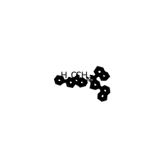 CC1(C)c2cc(-c3ccccc3)ccc2-c2ccc(-n3cc(-c4cccc5ccccc45)c4cc(-c5cccc6ccccc56)ccc43)cc21